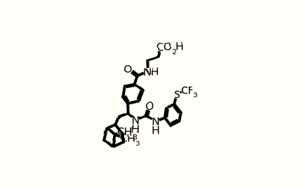 CC1(C)C2CCC(CC(NC(=O)Nc3cccc(SC(F)(F)F)c3)c3ccc(C(=O)NCCC(=O)O)cc3)C1C2